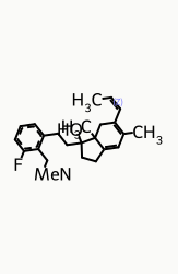 C/C=C\C1=C(C)C=C2CCC(O)(CCc3cccc(F)c3CNC)C2(C)C1